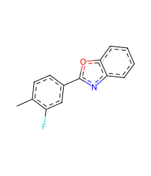 Cc1ccc(-c2nc3ccccc3o2)cc1F